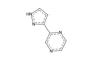 [c]1c[nH]nc1-c1cnccn1